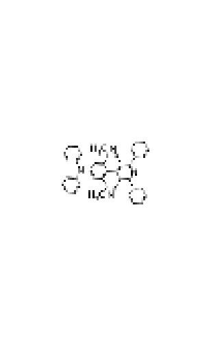 CCc1cc(N(c2ccccc2)c2ccccc2)cc(CC)c1-c1c(C#N)c(-c2ccccc2)nc(-c2ccccc2)c1C#N